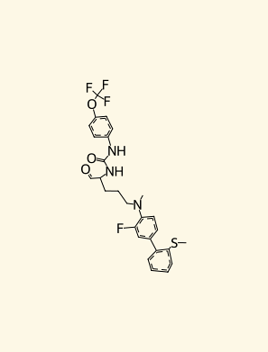 CSc1ccccc1-c1ccc(N(C)CCCC(C=O)NC(=O)Nc2ccc(OC(F)(F)F)cc2)c(F)c1